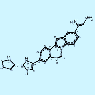 N/C=C(\N)c1ccc2c(c1)cc1n2COc2cc(C3=CNC([C@@H]4CCCN4)N3)ccc2-1